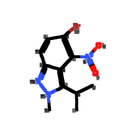 CC(C)c1c2c([N+](=O)[O-])c(Br)ccc2nn1C